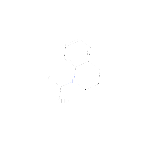 CC(C=O)N1CCCc2ccccc21